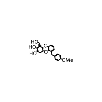 COc1ccc(Cc2cccc(C)c2O[C@@H]2C[C@H](CO)[C@@H](O)[C@H](O)C2)cc1